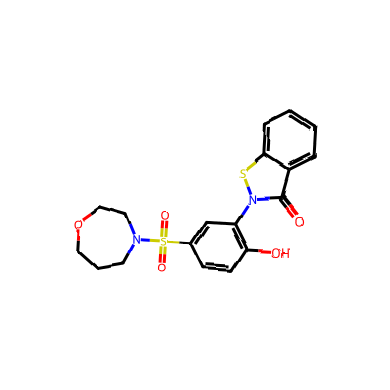 O=c1c2ccccc2sn1-c1cc(S(=O)(=O)N2CCCOCC2)ccc1O